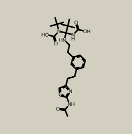 CC(=O)Nc1nc(CCc2cccc(CCNC(NC(=O)O)(N(C(=O)O)C(C)(C)C)C(C)(C)C)c2)cs1